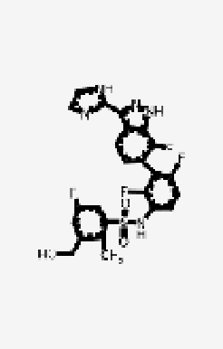 Cc1c(CO)cc(F)cc1S(=O)(=O)Nc1ccc(F)c(-c2ccc3c(-c4ncc[nH]4)n[nH]c3c2F)c1F